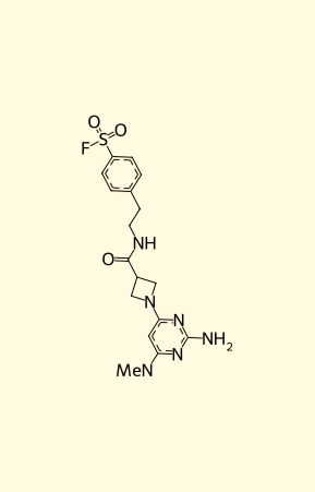 CNc1cc(N2CC(C(=O)NCCc3ccc(S(=O)(=O)F)cc3)C2)nc(N)n1